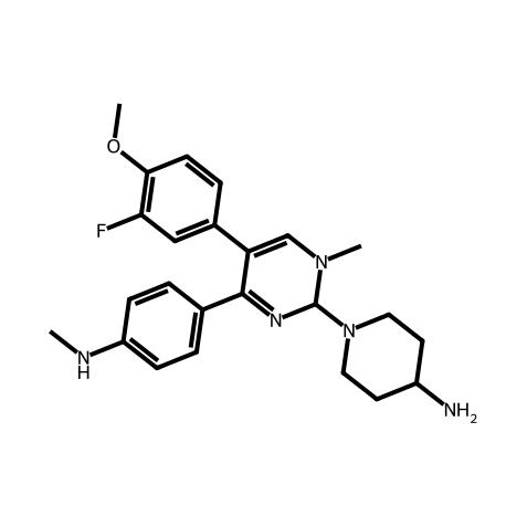 CNc1ccc(C2=NC(N3CCC(N)CC3)N(C)C=C2c2ccc(OC)c(F)c2)cc1